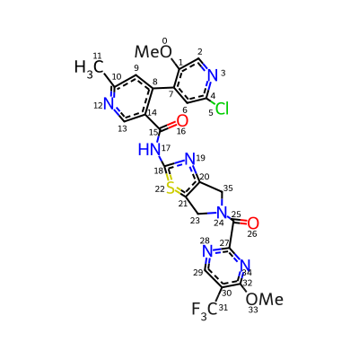 COc1cnc(Cl)cc1-c1cc(C)ncc1C(=O)Nc1nc2c(s1)CN(C(=O)c1ncc(C(F)(F)F)c(OC)n1)C2